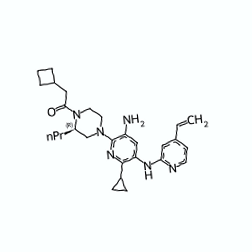 C=Cc1ccnc(Nc2cc(N)c(N3CCN(C(=O)CC4CCC4)[C@H](CCC)C3)nc2C2CC2)c1